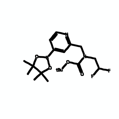 CC(C)(C)OC(=O)N(Cc1cc(B2OC(C)(C)C(C)(C)O2)ccn1)CC(F)F